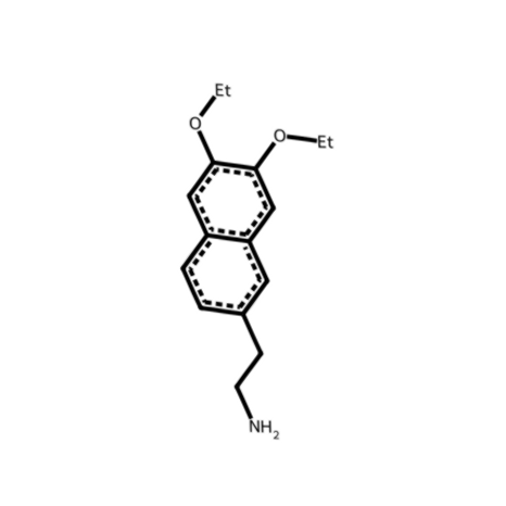 CCOc1cc2ccc(CCN)cc2cc1OCC